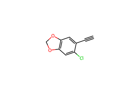 C#Cc1cc2c(cc1Cl)OCO2